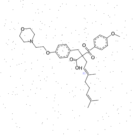 COc1ccc(S(=O)(=O)C(C/C=C(\C)CCC=C(C)C)(Cc2ccc(OCCN3CCOCC3)cc2)C(=O)O)cc1